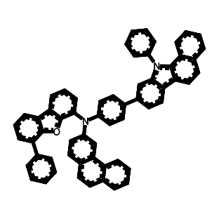 c1ccc(-c2cccc3c2oc2c(N(c4ccc(-c5ccc6c7ccc8ccccc8c7n(-c7ccccc7)c6c5)cc4)c4ccc5ccc6ccccc6c5c4)cccc23)cc1